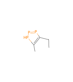 CCc1pp[pH]c1C